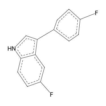 Fc1ccc(-c2c[nH]c3ccc(F)cc23)cc1